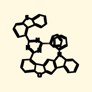 c1ccc(-c2nc(-c3cccc4oc5cc6c7ccccc7n(-c7ccccc7)c6cc5c34)nc(-c3cccc4sc5ccccc5c34)n2)cc1